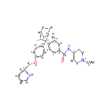 CSN1CCC(NC(=O)c2ccc([C@]3(c4ccc(OCc5ccccn5)cc4)CC4CC[C@@H]3C4)cc2)CC1